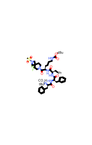 CC(C)C[C@@H](NC(=O)[C@@H](Cc1ccccc1)NC(=O)[C@@H](Cc1ccccc1)N(C(=O)O)C(C)(C)C)C(=O)N[C@H](CCCCNC(=O)OC(C)(C)C)C(=O)N1CCC2(CN(S(C)(=O)=O)C2)C(F)(F)C1